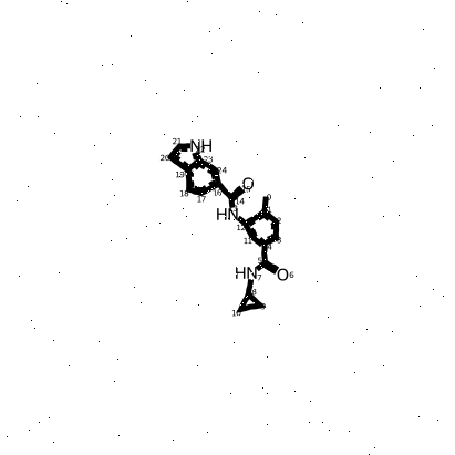 Cc1ccc(C(=O)NC2CC2)cc1NC(=O)c1ccc2cc[nH]c2c1